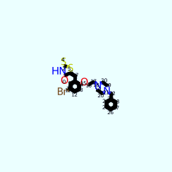 O=C1NC(=S)SC1=Cc1cc(Br)ccc1OCCN1CCN(Cc2ccccc2)CC1